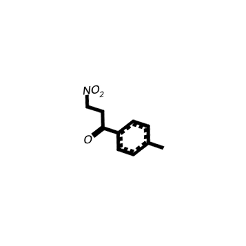 Cc1ccc(C(=O)CC[N+](=O)[O-])cc1